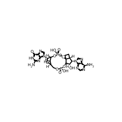 Nc1nc2c(ncn2[C@@H]2O[C@@H]3COP(=O)(O)O[C@H]4[C@@H](O)[C@H](n5cnc6c(N)ncnc65)[C@H]5CCC54COP(=O)(O)O[C@@H]2[C@@H]3O)c(=O)[nH]1